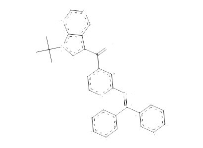 CC(C)(C)n1cc(C(=O)c2ccnc(N=C(c3ccccc3)c3ccccc3)c2)c2cncnc21